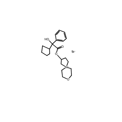 O=C(OC1CC[N+]2(CCOCC2)C1)C(O)(c1ccccc1)C1CCCC1.[Br-]